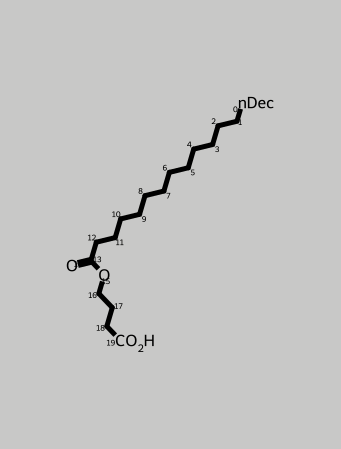 CCCCCCCCCCCCCCCCCCCCCCC(=O)OCCCC(=O)O